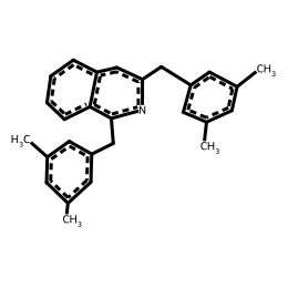 Cc1cc(C)cc(Cc2cc3ccccc3c(Cc3cc(C)cc(C)c3)n2)c1